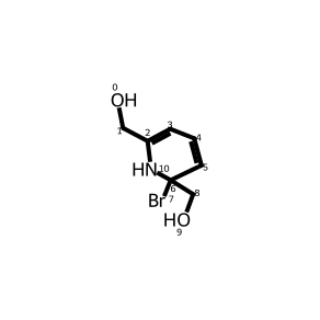 OCC1=CC=CC(Br)(CO)N1